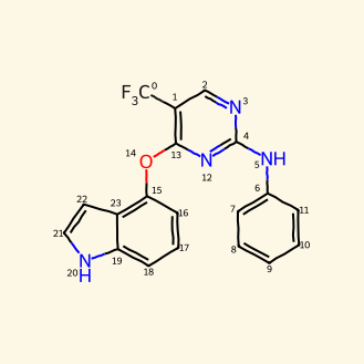 FC(F)(F)c1cnc(Nc2ccccc2)nc1Oc1cccc2[nH]ccc12